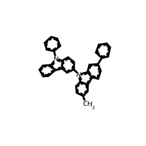 Cc1ccc2c(c1)c1ccc(-c3ccccc3)cc1n2-c1ccc2c(c1)c1ccccc1n2-c1ccccc1